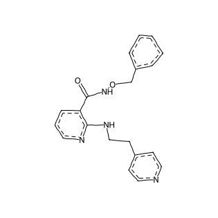 O=C(NOCc1ccccc1)c1cccnc1NCCc1ccncc1